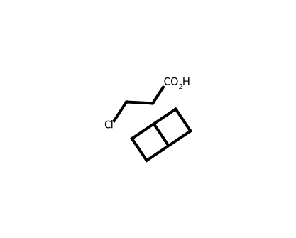 C1CC2CCC12.O=C(O)CCCl